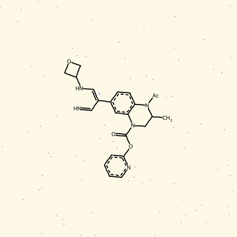 CC(=O)N1c2ccc(/C(C=N)=C/NC3COC3)cc2N(C(=O)Oc2ccccn2)CC1C